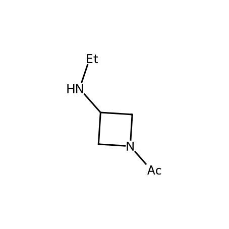 CCNC1CN(C(C)=O)C1